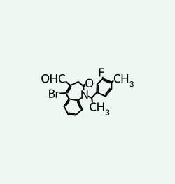 Cc1ccc(C(C)N2C(=O)CC(C=O)=C(Br)c3ccccc32)cc1F